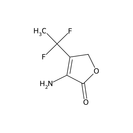 CC(F)(F)C1=C(N)C(=O)OC1